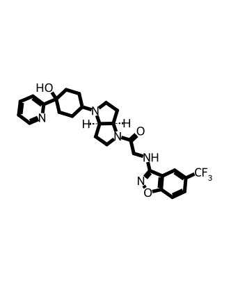 O=C(CNc1noc2ccc(C(F)(F)F)cc12)N1CC[C@@H]2[C@H]1CCN2C1CCC(O)(c2ccccn2)CC1